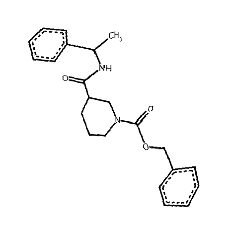 CC(NC(=O)C1CCCN(C(=O)OCc2ccccc2)C1)c1ccccc1